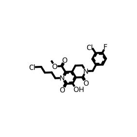 COC(=O)c1c2c(c(O)c(=O)n1CCCCCl)C(=O)N(Cc1ccc(F)c(Cl)c1)CC2